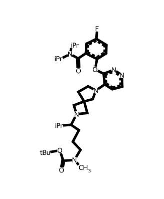 CC(C)C(CCCN(C)C(=O)OC(C)(C)C)N1CC2(CCN(c3ccnnc3Oc3ccc(F)cc3C(=O)N(C(C)C)C(C)C)C2)C1